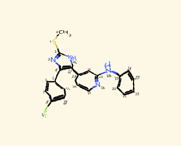 CSc1nc(-c2ccc(F)cc2)c(-c2ccnc(Nc3ccccc3)c2)[nH]1